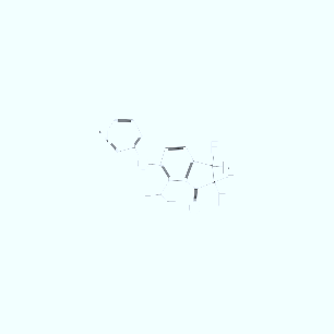 O=C1c2c(ccc(Oc3cccnc3)c2C(F)F)C(F)(F)C1(F)F